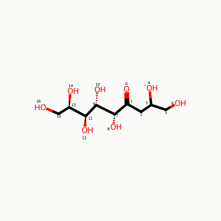 O=C(CC(O)CO)[C@H](O)[C@@H](O)[C@@H](O)[C@H](O)CO